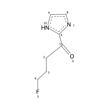 O=C(CCCF)c1ncc[nH]1